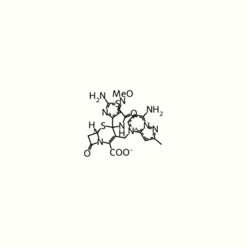 CON=CC(=O)NC1(c2csc(N)n2)S[C@H]2CC(=O)N2C(C(=O)[O-])=C1C[n+]1ccc(N)n2nc(C)cc21